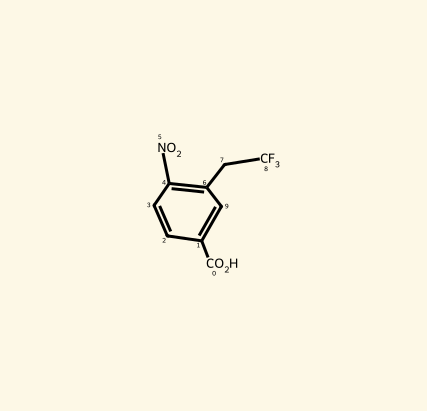 O=C(O)c1ccc([N+](=O)[O-])c(CC(F)(F)F)c1